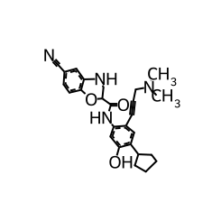 CN(C)CC#Cc1cc(C2CCCC2)c(O)cc1NC(=O)C1CNc2cc(C#N)ccc2O1